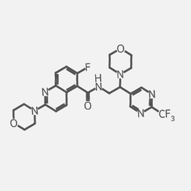 O=C(NCC(c1cnc(C(F)(F)F)nc1)N1CCOCC1)c1c(F)ccc2nc(N3CCOCC3)ccc12